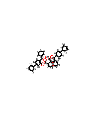 O=C(OC(c1ccccc1)c1ccc(-c2ccccc2)cc1)c1ccccc1C(=O)OC(c1ccccc1)c1ccc(-c2ccccc2)cc1